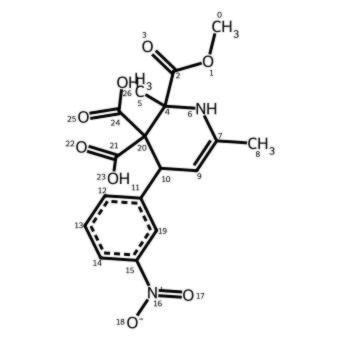 COC(=O)C1(C)NC(C)=CC(c2cccc([N+](=O)[O-])c2)C1(C(=O)O)C(=O)O